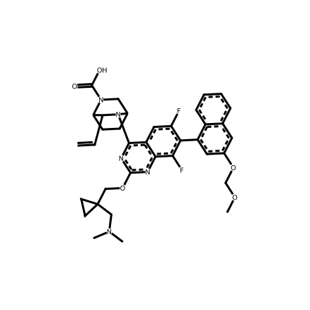 C=CC1C2CCC(CN2C(=O)O)N1c1nc(OCC2(CN(C)C)CC2)nc2c(F)c(-c3cc(OCOC)cc4ccccc34)c(F)cc12